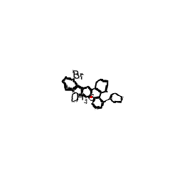 Cc1cccc(C2=CCCC=C2)c1C1=C(c2ccc3oc4cccc(Br)c4c3c2)CC=CC=C1